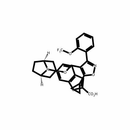 O=C(O)c1cc2ccc(N3[C@@H]4CC[C@H]3C[C@@H](OCc3c(-c5ccccc5OC(F)(F)F)noc3C3CC3)C4)cc2o1